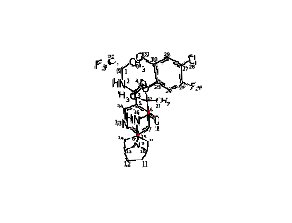 C[C@H](NC(=O)c1ccc(N2C3CCC2CC(NC(=O)C(C)(C)Oc2cc(F)c(Cl)cc2Cl)C3)nc1)C(F)(F)F